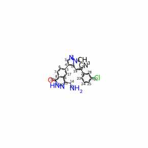 Cn1ncc(-c2ccc3c(=O)[nH]nc(CN)c3c2)c1/C=C(\C#N)c1cccc(Cl)c1